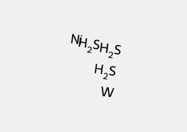 S.S.S.[Ni].[W]